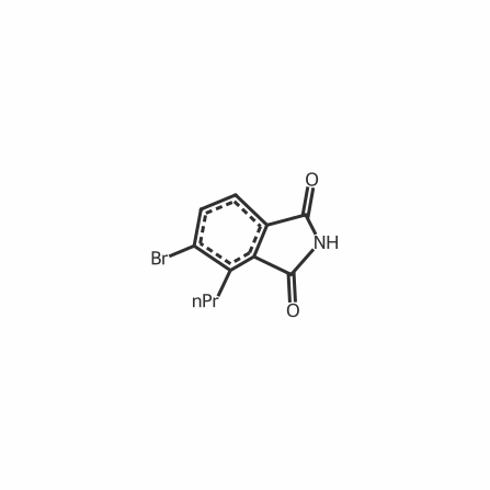 CCCc1c(Br)ccc2c1C(=O)NC2=O